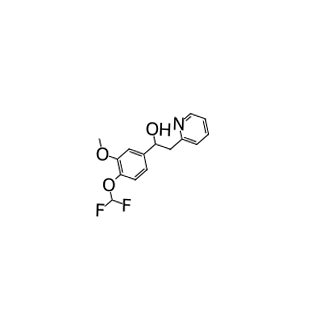 COc1cc(C(O)Cc2ccccn2)ccc1OC(F)F